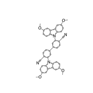 COc1ccc2c(c1)c1cc(OC)ccc1n2-c1cc(-c2ccc(C#N)c(-n3c4ccc(OC)cc4c4cc(OC)ccc43)c2)ccc1C#N